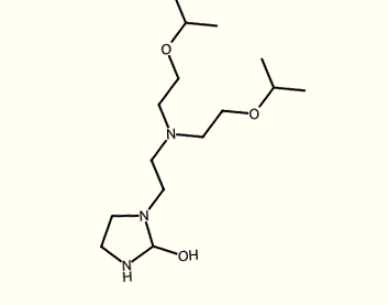 CC(C)OCCN(CCOC(C)C)CCN1CCNC1O